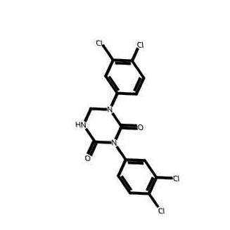 O=C1NCN(c2ccc(Cl)c(Cl)c2)C(=O)N1c1ccc(Cl)c(Cl)c1